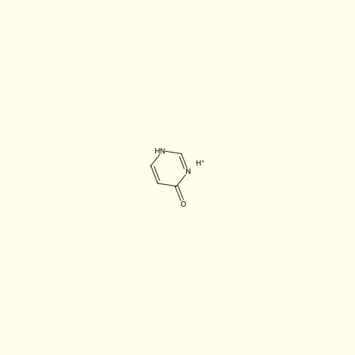 O=c1cc[nH]cn1.[H+]